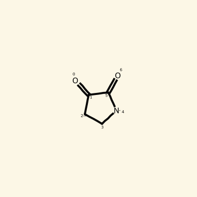 O=C1[C]C[N]C1=O